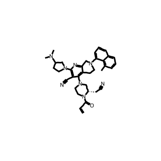 C=CC(=O)N1CCN(c2c(C#N)c(N3CCC(N(C)C)C3)nc3c2CCN(c2cccc4cccc(C)c24)C3)C[C@@H]1CC#N